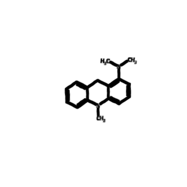 CN(C)c1cccc2c1Cc1ccccc1N2C